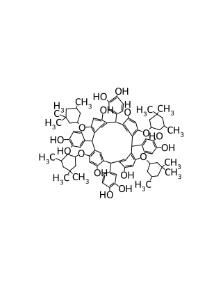 CC1CC(Oc2cc(O)c3cc2C(c2ccc(O)c(O)c2)c2cc(c(O)cc2OC2CC(C)CC(C)(C)C2)C(c2ccc(O)c(O)c2)c2cc(c(OC4CC(C)CC(C)(C)C4)cc2O)C(c2ccc(O)c(O)c2)c2cc(c(O)cc2OC2CC(C)CC(C)(C)C2)C3c2ccc(O)c(O)c2)CC(C)(C)C1